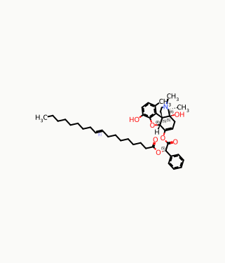 CCCCCCCC/C=C/CCCCCCCC(=O)O[C@H](C(=O)OC1=CC[C@@]2(O)[C@@H](C)N(C)CC[C@@]23c2c(C)ccc(O)c2O[C@@H]13)c1ccccc1